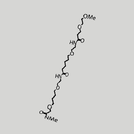 CNC(=O)COCCCCOCCNC(=O)CCCCCOCCNC(=O)CCOCCOC